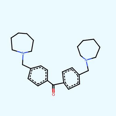 O=C(c1ccc(CN2CCCCCC2)cc1)c1ccc(CN2CCCCCC2)cc1